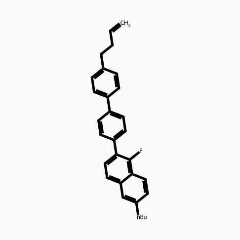 C=CCCc1ccc(-c2ccc(-c3ccc4cc(CCCC)ccc4c3F)cc2)cc1